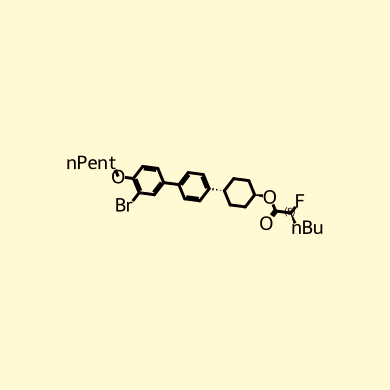 CCCCCOc1ccc(-c2ccc([C@H]3CC[C@H](OC(=O)[C@@H](F)CCCC)CC3)cc2)cc1Br